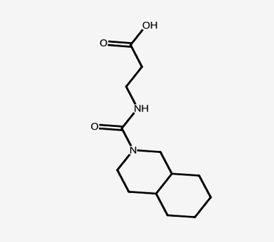 O=C(O)CCNC(=O)N1CCC2CCCCC2C1